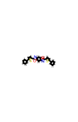 c1ccc(-c2ccc(-c3nc4cc5oc(-c6ccc(-c7ccccc7)s6)nc5cc4o3)s2)cc1